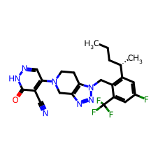 CCC[C@H](C)c1cc(F)cc(C(F)(F)F)c1Cn1nnc2c1CCN(c1cn[nH]c(=O)c1C#N)C2